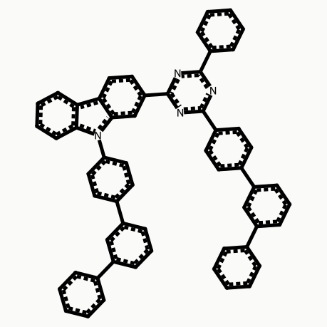 c1ccc(-c2cccc(-c3ccc(-c4nc(-c5ccccc5)nc(-c5ccc6c7ccccc7n(-c7ccc(-c8cccc(-c9ccccc9)c8)cc7)c6c5)n4)cc3)c2)cc1